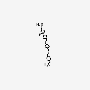 C=CC1CCC(CCCCc2ccc(CCc3ccc(-c4ccc(COC)cc4F)cc3)cc2)CC1